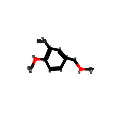 COc1cc(COC(C)C)ccc1OC(C)C